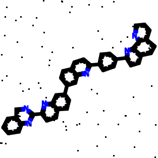 c1ccc2nc(-c3ccc4ccc(-c5ccc6ccc(-c7ccc(-c8ccc9ccc%10cccnc%10c9n8)cc7)nc6c5)cc4n3)ncc2c1